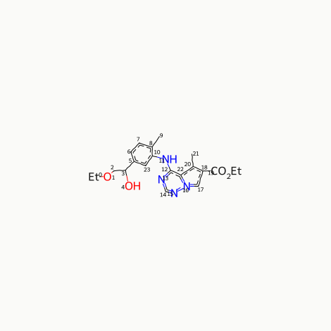 CCOCC(O)c1ccc(C)c(Nc2ncnn3cc(C(=O)OCC)c(C)c23)c1